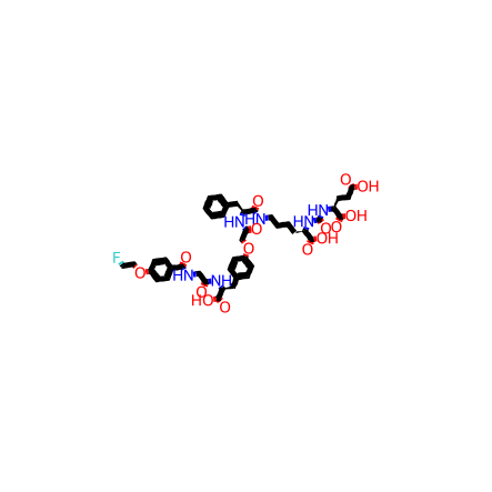 O=C(O)CC[C@H](NC(=O)N[C@@H](CCCCNC(=O)[C@H](Cc1ccccc1)NC(=O)COc1ccc(C[C@H](NC(=O)CNC(=O)c2ccc(OCCF)cc2)C(=O)O)cc1)C(=O)O)C(=O)O